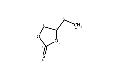 CCC1COC(=S)O1